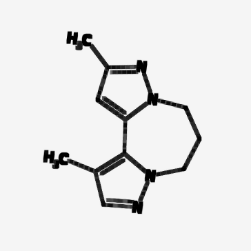 Cc1cc2n(n1)CCCn1ncc(C)c1-2